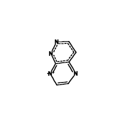 C1=C[N+]=c2nnccc2=N1